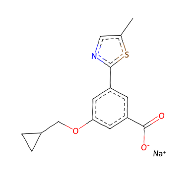 Cc1cnc(-c2cc(OCC3CC3)cc(C(=O)[O-])c2)s1.[Na+]